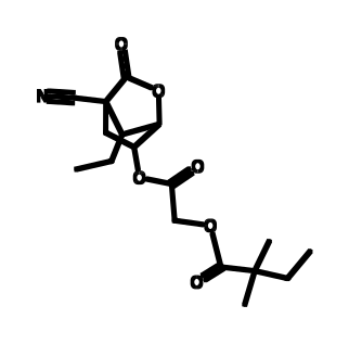 CCC1C2OC(=O)C1(C#N)CC2OC(=O)COC(=O)C(C)(C)CC